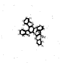 C1=CC2=Nc3c(c4cccc5c6c7sc8ccccc8c7c7c8ccccc8sc7c6n3c45)NC2C=C1